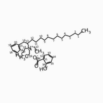 CCCCCCCCCCCCCC(Cc1ccccc1)[N+](CC)(CC)CC.O=C([O-])c1ccccc1O